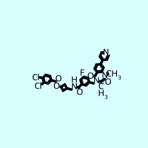 C[C@@H]1C(=O)N(C)c2cc(-c3ccncc3)ccc2C(=O)N1Cc1cc(F)cc(C(=O)NCC2CC(OC(=O)c3ccc(Cl)c(Cl)c3)C2)c1